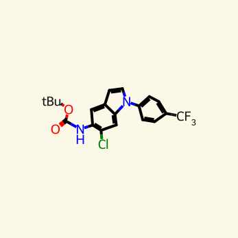 CC(C)(C)OC(=O)Nc1cc2ccn(-c3ccc(C(F)(F)F)cc3)c2cc1Cl